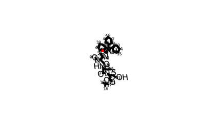 CON=C(C(=O)N[C@@H]1C(=O)N2C(C(=O)OC(C)(C)C)=C(CO)SC[C@H]12)c1csc(NC(c2ccccc2)(c2ccccc2)c2ccccc2)n1